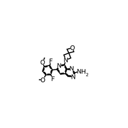 COc1cc(OC)c(F)c(-c2cc3cnc(N)nc3c(N3CC4(COC4)C3)n2)c1F